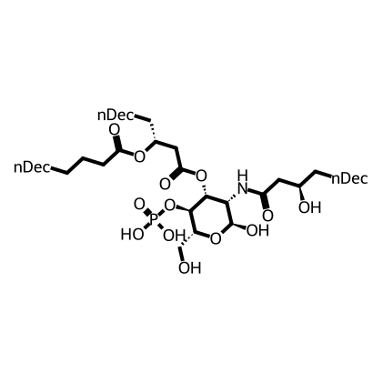 CCCCCCCCCCCCCC(=O)O[C@H](CCCCCCCCCCC)CC(=O)O[C@@H]1[C@H](NC(=O)C[C@H](O)CCCCCCCCCCC)[C@@H](O)O[C@H](CO)[C@H]1OP(=O)(O)O